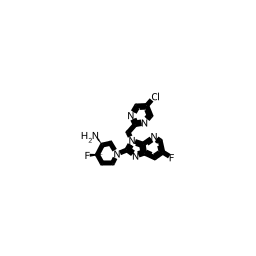 N[C@@H]1CN(c2nc3cc(F)cnc3n2Cc2ncc(Cl)cn2)CC[C@H]1F